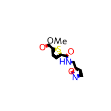 COC(=O)c1ccc(C(=O)NCc2ccno2)s1